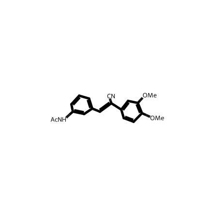 COc1ccc(C(C#N)=Cc2cccc(NC(C)=O)c2)cc1OC